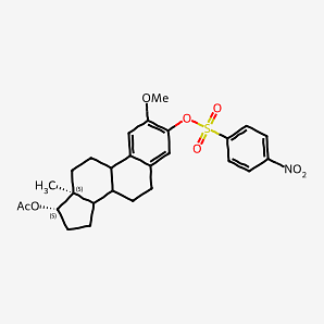 COc1cc2c(cc1OS(=O)(=O)c1ccc([N+](=O)[O-])cc1)CCC1C2CC[C@@]2(C)C1CC[C@@H]2OC(C)=O